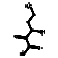 CCCC(O)C(=O)C(=O)O